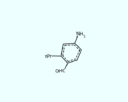 CCCc1cc(N)ccc1C=O